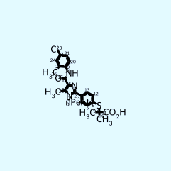 CCCCCn1c(-c2ccc(SC(C)(C)C(=O)O)cc2)nc(C(=O)Nc2ccc(Cl)cc2C)c1C